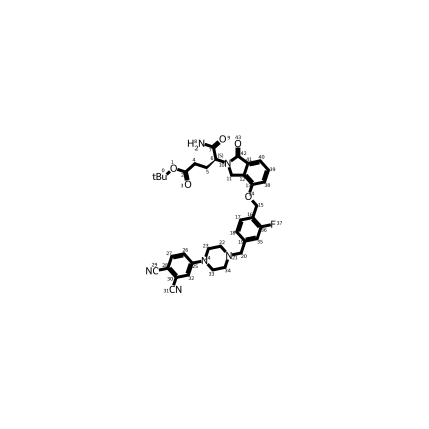 CC(C)(C)OC(=O)CC[C@@H](C(N)=O)N1Cc2c(OCc3ccc(CN4CCN(c5ccc(C#N)c(C#N)c5)CC4)cc3F)cccc2C1=O